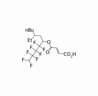 CCCCC(CC)CC(OC(=O)/C=C/C(=O)O)C(F)(F)C(F)(F)C(F)(F)C(F)F